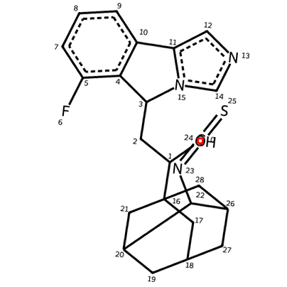 OC(CC1c2c(F)cccc2-c2cncn21)C12CC3CC(C1)C(N=C=S)C(C3)C2